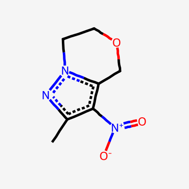 Cc1nn2c(c1[N+](=O)[O-])COCC2